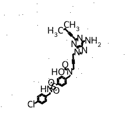 CC(C)C#Cc1nc(N)c2ncn(CC#CCN(Cc3ccc(S(=O)(=O)NCc4ccc(Cl)cc4)cc3)C(=O)O)c2n1